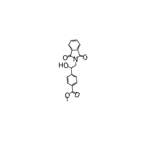 COC(=O)c1ccc(C(O)CN2C(=O)c3ccccc3C2=O)cc1